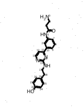 NCCC(=O)Nc1cccc(-c2ccnc(NCCc3ccc(O)cc3)n2)c1